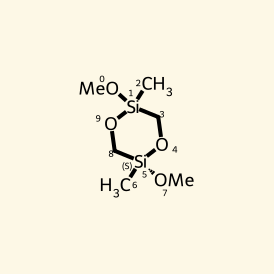 CO[Si]1(C)CO[Si@](C)(OC)CO1